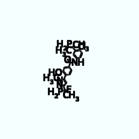 Cn1nc(C(C)(F)P)cc1-c1ccc(C(=O)Nc2ccc(Cl)c(C(C)(C)P)c2)cc1O